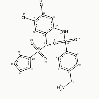 NCc1ccc(S(=O)(=O)Nc2cc(Cl)c(Cl)cc2NS(=O)(=O)c2cccs2)cc1